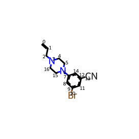 C=CCN1CCN(c2cc(Br)cc(C#N)c2)CC1